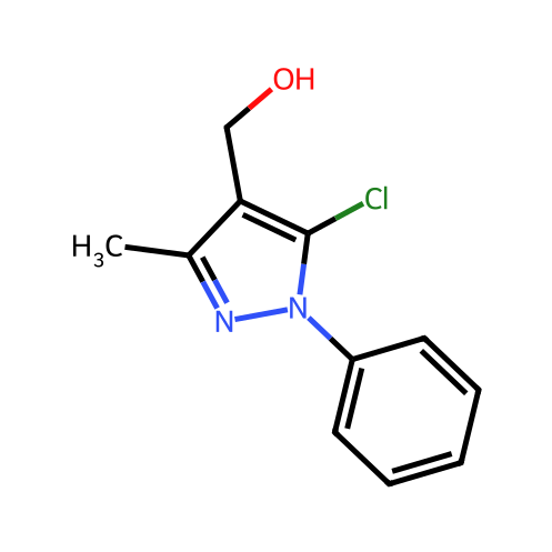 Cc1nn(-c2ccccc2)c(Cl)c1CO